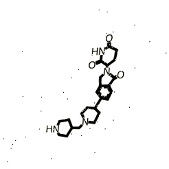 O=C1CCC(N2Cc3cc(C4CCN(CC5CCNCC5)CC4)ccc3C2=O)C(=O)N1